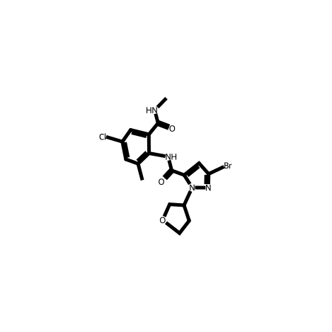 CNC(=O)c1cc(Cl)cc(C)c1NC(=O)c1cc(Br)nn1C1CCOC1